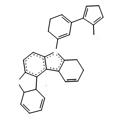 N#CC1=CCC=C1C1=CCCC(n2c3c(c4c5c(ccc42)OC2C=CC=C[C@H]52)C=CCC3)=C1